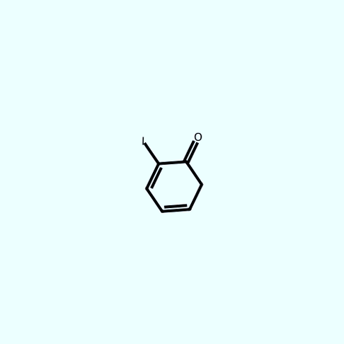 O=C1CC=CC=C1I